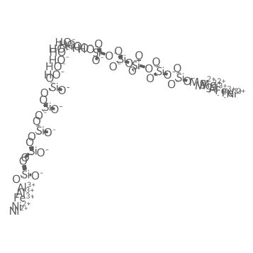 O=[Si]([O-])[O-].O=[Si]([O-])[O-].O=[Si]([O-])[O-].O=[Si]([O-])[O-].O=[Si]([O-])[O-].O=[Si]([O-])[O-].O=[Si]([O-])[O-].O=[Si]([O-])[O-].O=[Si]([O-])[O-].O=[Si]([O-])[O-].[Al+3].[Al+3].[Al+3].[Fe+3].[Fe+3].[Fe+3].[Mg+2].[Mg+2].[Mg+2].[Ni+2].[Ni+2].[Ni+2].[OH-].[OH-].[OH-].[OH-].[OH-].[OH-].[OH-].[OH-].[OH-].[OH-]